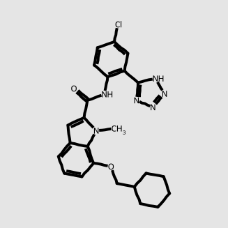 Cn1c(C(=O)Nc2ccc(Cl)cc2-c2nnn[nH]2)cc2cccc(OCC3CCCCC3)c21